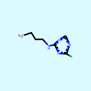 CCCCNc1n[c]nc(F)n1